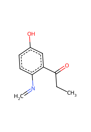 C=Nc1ccc(O)cc1C(=O)CC